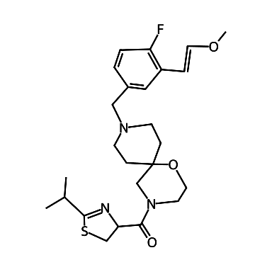 CO/C=C/c1cc(CN2CCC3(CC2)CN(C(=O)C2CSC(C(C)C)=N2)CCO3)ccc1F